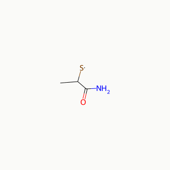 CC([S])C(N)=O